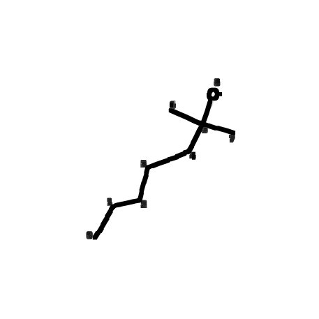 CCCCCC(C)(C)[O]